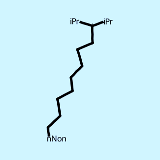 CCCCCCCCCCCCCCCCC[C](C(C)C)C(C)C